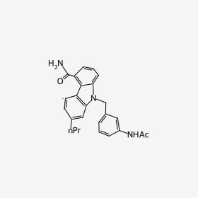 CCCc1c[c]c2c3c(C(N)=O)cccc3n(Cc3cccc(NC(C)=O)c3)c2c1